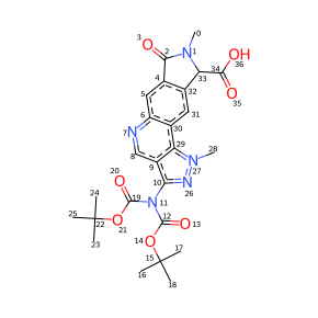 CN1C(=O)c2cc3ncc4c(N(C(=O)OC(C)(C)C)C(=O)OC(C)(C)C)nn(C)c4c3cc2C1C(=O)O